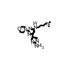 CN(C)CCCCNc1cc(-c2cnc(N)nc2)nc(N2CCOCC2)n1